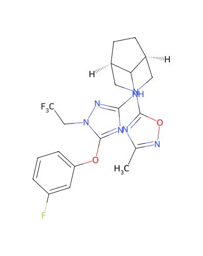 Cc1noc(N2C[C@H]3CC[C@@H](C2)C3Nc2nc(Oc3cccc(F)c3)n(CC(F)(F)F)n2)n1